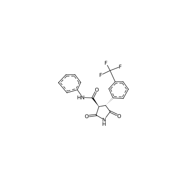 O=C1NC(=O)[C@@H](c2cccc(C(F)(F)F)c2)[C@@H]1C(=O)Nc1ccccc1